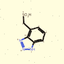 O=S(=O)(O)Cc1cccc2[nH]nnc12